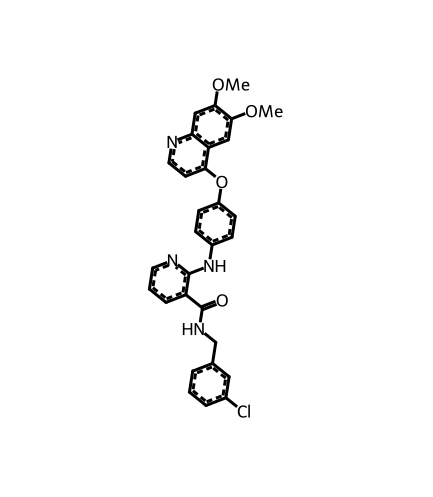 COc1cc2nccc(Oc3ccc(Nc4ncccc4C(=O)NCc4cccc(Cl)c4)cc3)c2cc1OC